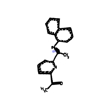 CC(=O)c1cccc(/C(C)=N/c2cccc3ccccc23)n1